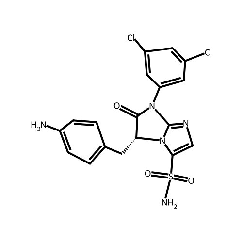 Nc1ccc(C[C@@H]2C(=O)N(c3cc(Cl)cc(Cl)c3)c3ncc(S(N)(=O)=O)n32)cc1